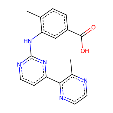 Cc1ccc(C(=O)O)cc1Nc1nccc(-c2nccnc2C)n1